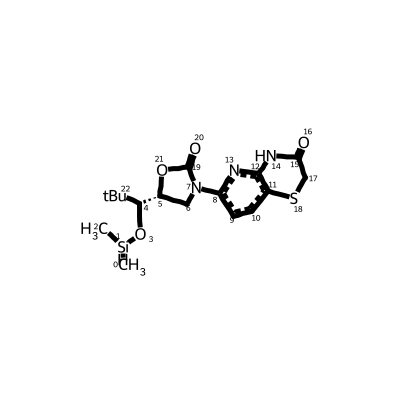 C[SiH](C)OC([C@H]1CN(c2ccc3c(n2)NC(=O)CS3)C(=O)O1)C(C)(C)C